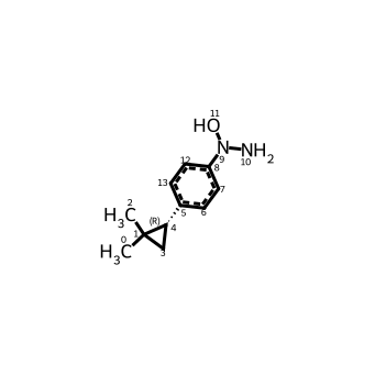 CC1(C)C[C@H]1c1ccc(N(N)O)cc1